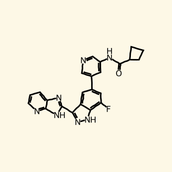 O=C(Nc1cncc(-c2cc(F)c3[nH]nc(-c4nc5cccnc5[nH]4)c3c2)c1)C1CCC1